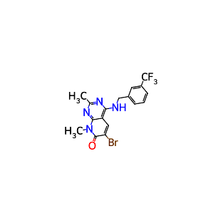 Cc1nc(NCc2cccc(C(F)(F)F)c2)c2cc(Br)c(=O)n(C)c2n1